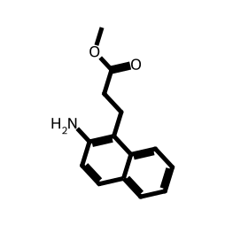 COC(=O)CCc1c(N)ccc2ccccc12